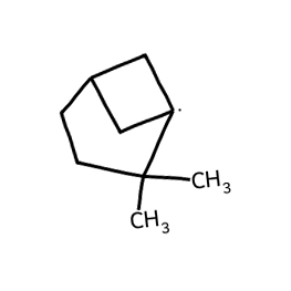 CC1(C)CCC2C[C]1C2